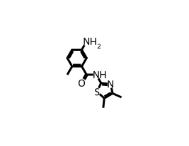 Cc1ccc(N)cc1C(=O)Nc1nc(C)c(C)s1